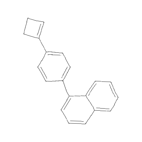 C1=C(c2ccc(-c3cccc4ccccc34)cc2)CC1